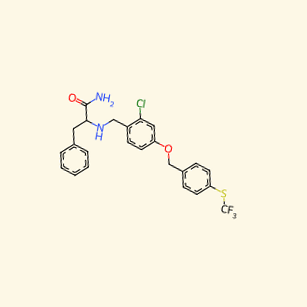 NC(=O)C(Cc1ccccc1)NCc1ccc(OCc2ccc(SC(F)(F)F)cc2)cc1Cl